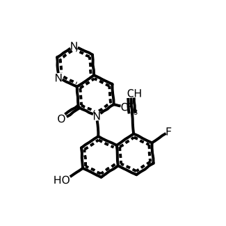 C#Cc1c(F)ccc2cc(O)cc(-n3c(C(F)(F)F)cc4cncnc4c3=O)c12